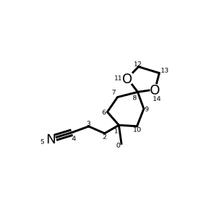 CC1(CCC#N)CCC2(CC1)OCCO2